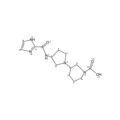 O=C(NC1CCN(C2CCCN(C(=O)O)C2)C1)c1ncc[nH]1